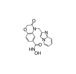 O=C(NO)c1ccc2c(c1)N(Cc1cn3ccccc3n1)C(=O)CO2